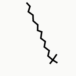 CCCCCCCCCCCCCC(C)(C)C